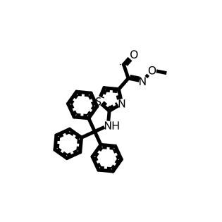 CON=C([C]=O)c1csc(NC(c2ccccc2)(c2ccccc2)c2ccccc2)n1